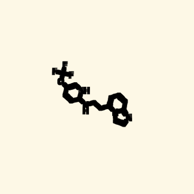 FC(F)(F)OC1=CNC(NCCc2cccc3nccn23)C=C1